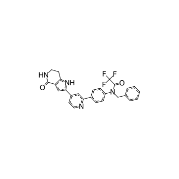 O=C1NCCc2[nH]c(-c3ccnc(-c4ccc(N(Cc5ccccc5)C(=O)C(F)(F)F)cc4)c3)cc21